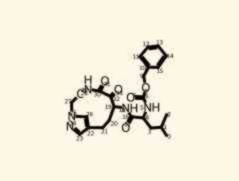 CC(C)CC(NC(=O)OCc1ccccc1)C(=O)NC1CCc2cnn(c2)CCNC(=O)C1=O